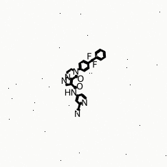 N#Cc1cc(NC(=O)c2cnn3c2C(=O)N(c2ccc(C(F)(F)c4ccccc4)cc2)CC3)ccn1